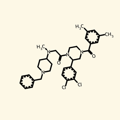 Cc1cc(C)cc(C(=O)N2CCN(C(=O)CN(C)C3CCN(Cc4ccccc4)CC3)C(c3ccc(Cl)c(Cl)c3)C2)c1